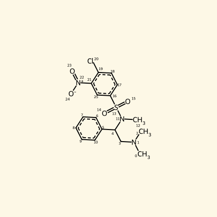 CN(C)CC(c1ccccc1)N(C)S(=O)(=O)c1ccc(Cl)c([N+](=O)[O-])c1